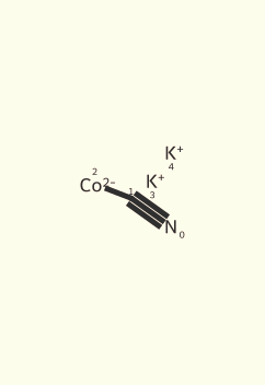 N#[C][Co-2].[K+].[K+]